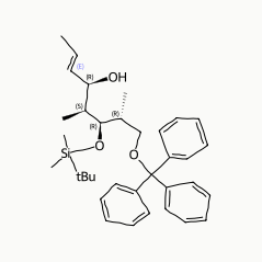 C/C=C/[C@@H](O)[C@H](C)[C@H](O[Si](C)(C)C(C)(C)C)[C@H](C)COC(c1ccccc1)(c1ccccc1)c1ccccc1